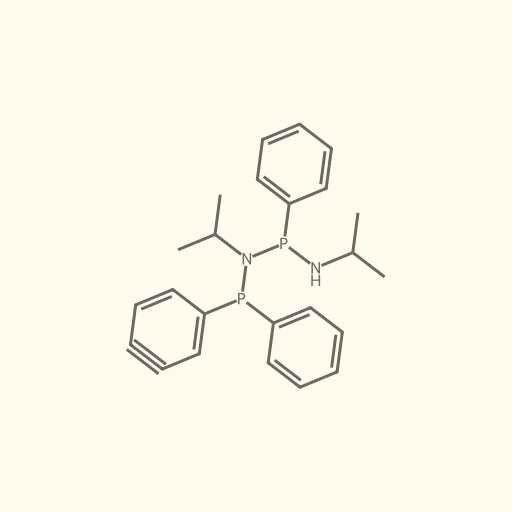 CC(C)NP(c1ccccc1)N(C(C)C)P(c1cc#ccc1)c1ccccc1